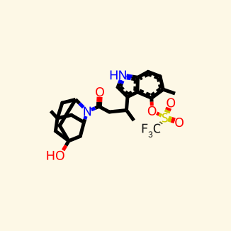 Cc1ccc2[nH]cc(C(C)CC(=O)N3C4CC5(C)CC3CC(O)(C4)C5)c2c1OS(=O)(=O)C(F)(F)F